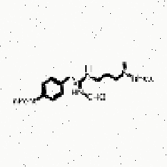 CCCCCCN(C)CCCN[C@@H](Cc1ccc(CCCCC)cc1)NC=O